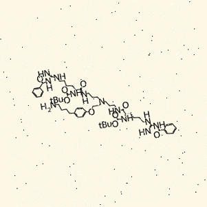 CC(C)(C)OC(=O)N[C@@H](CCCCNC(=N)NC(=O)c1ccccc1)C(=O)NCCCN(CCCNC(=O)[C@H](CCCCNC(=N)NC(=O)c1ccccc1)NC(=O)OC(C)(C)C)CCOc1ccc(CCCCN)cc1